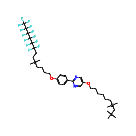 C[Si](C)(C)C[Si](C)(C)CCCCCCOc1cnc(-c2ccc(OCCCC[Si](C)(C)CCC(F)(F)C(F)(F)C(F)(F)C(F)(F)C(F)(F)C(F)(F)F)cc2)nc1